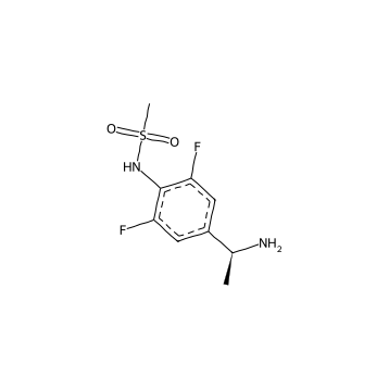 C[C@H](N)c1cc(F)c(NS(C)(=O)=O)c(F)c1